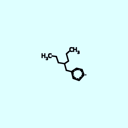 CCCC(CCC)Cc1cc[c]cc1